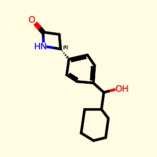 O=C1C[C@H](c2ccc(C(O)C3CCCCC3)cc2)N1